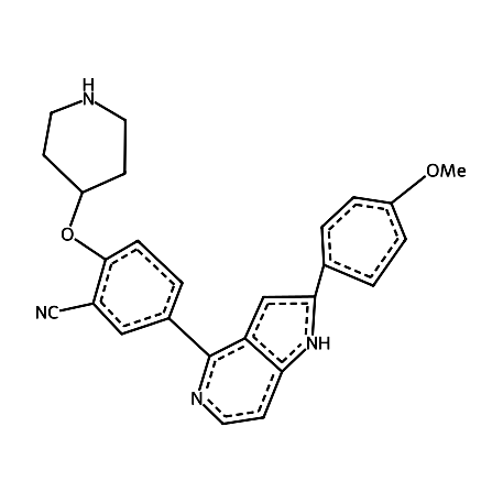 COc1ccc(-c2cc3c(-c4ccc(OC5CCNCC5)c(C#N)c4)nccc3[nH]2)cc1